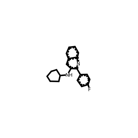 Fc1ccc(-c2nc3ccccc3cc2NC2CCCCC2)cc1